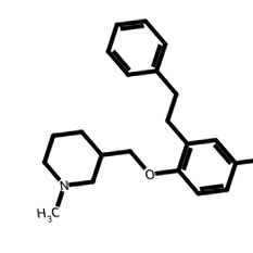 CN1CCCC(COc2ccc(F)cc2CCc2ccccc2)C1